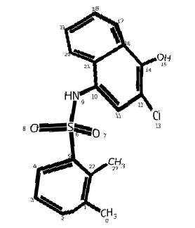 Cc1cccc(S(=O)(=O)Nc2cc(Cl)c(O)c3ccccc23)c1C